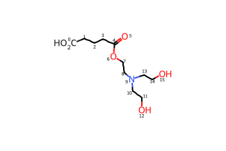 O=C(O)CCCC(=O)OCCN(CCO)CCO